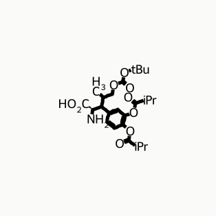 CC(C)C(=O)Oc1ccc(C(C(C)COC(=O)OC(C)(C)C)[C@H](N)C(=O)O)cc1OC(=O)C(C)C